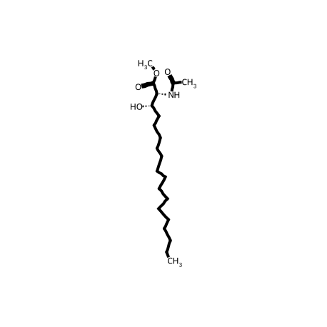 CCCCCCCCCCCCCCC[C@H](O)[C@@H](NC(C)=O)C(=O)OC